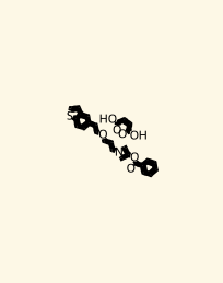 O=C(O)/C=C\C(=O)O.O=C(OC1CN(CCCOCCc2ccc3sccc3c2)C1)c1ccccc1